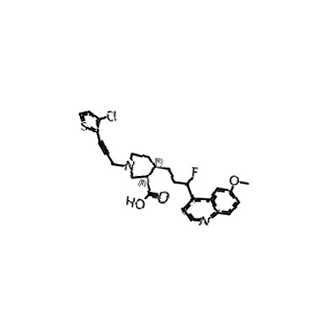 COc1ccc2nccc(C(F)CC[C@@H]3CCN(CC#Cc4sccc4Cl)C[C@@H]3C(=O)O)c2c1